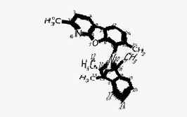 Cc1ccc2c(n1)oc1c(N3[C@@H](C)C4(C)CC3(C)c3ccccc34)c(C)ccc12